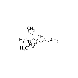 CCCCC(C)(C)C(CCC)N(C)CC